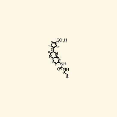 C=CCNC(=O)Nc1ccc2ncc(-c3csc(C(=O)O)c3)nc2n1